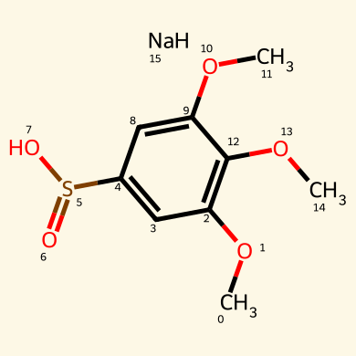 COc1cc(S(=O)O)cc(OC)c1OC.[NaH]